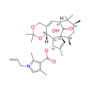 C=CCn1cc(C)c(C(=O)O[C@H]2C(C)=C[C@]34C(=O)[C@@H](C=C5COC(C)(C)O[C@H]5[C@]23O)C(C)(C)[C@@H](C)C[C@H]4C)c1C